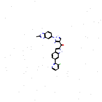 Cc1nc2cc(-n3ncc(C(=O)c4cc5ccc(-c6ncccc6Cl)cc5[nH]4)c3N)ccc2[nH]1